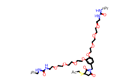 CCCNC(=O)NCCOCCOCCOCCOc1ccc(CN2C(=O)CC(SCC(C)=O)C2=O)cc1OCCOCCOCCOCCNC(=O)NCC(C)C